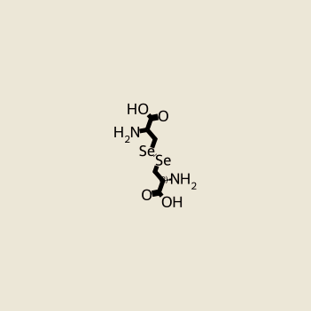 NC(C[Se][Se]C[C@H](N)C(=O)O)C(=O)O